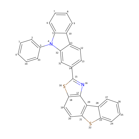 c1ccc(-n2c3ccccc3c3ccc(-c4nc5c(ccc6sc7ccccc7c65)s4)cc32)cc1